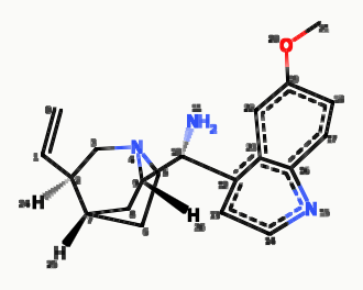 C=C[C@H]1CN2CC[C@H]1C[C@H]2[C@H](N)c1ccnc2ccc(OC)cc12